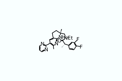 CCN(C[C@@]1(C)CCc2cc(-c3ncccn3)c(C)nc2N1)C(=O)[C@@H](C)c1ccc(F)c(F)c1